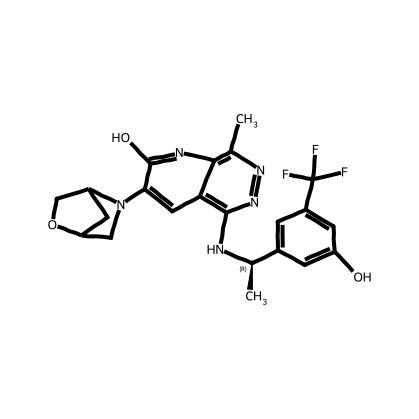 Cc1nnc(N[C@H](C)c2cc(O)cc(C(F)(F)F)c2)c2cc(N3CC4CC3CO4)c(O)nc12